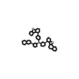 c1cc(-c2ccc3ccccc3c2)cc(N(c2ccc(-c3cccc4oc5ccccc5c34)cc2)c2cccc(-c3cccc4oc5c6ccccc6ccc5c34)c2)c1